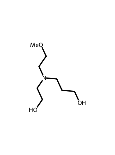 COCCN(CCO)CCCO